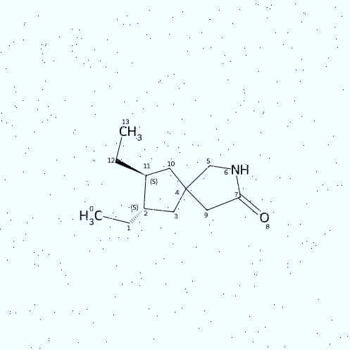 CC[C@H]1CC2(CNC(=O)C2)C[C@@H]1CC